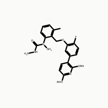 COc1ccc(-c2ccc(F)c(OCc3c(C)cccc3N(N)C(=O)NN)c2)c(OC)n1